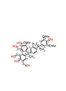 COc1cc(C(C)(c2ccc(C(C)(C)c3cc(OC)c(O)c(OC)c3)cc2)c2cc(CO)c(O)c(CO)c2)cc(CO)c1O